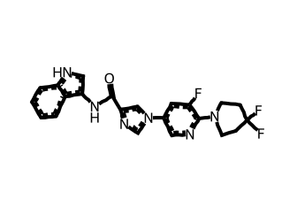 O=C(Nc1c[nH]c2ccccc12)c1cn(-c2cnc(N3CCC(F)(F)CC3)c(F)c2)cn1